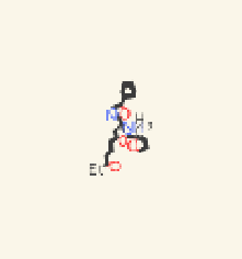 CCC(=O)CCCCC[C@H](NC(=O)C1(C)CCCO1)c1ncc(-c2ccccc2)o1